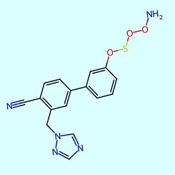 N#Cc1ccc(-c2cccc(OSOON)c2)cc1Cn1cncn1